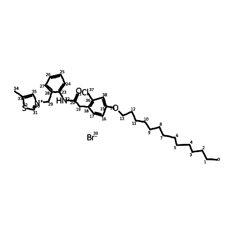 CCCCCCCCCCCCCCOc1ccc(CC(=O)Nc2ccccc2C[n+]2csc(C)c2)c(Cl)c1.[Br-]